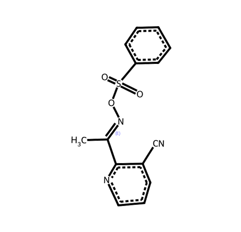 C/C(=N\OS(=O)(=O)c1ccccc1)c1ncccc1C#N